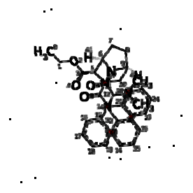 CCOC(=O)[C@H]1[C@H]2CC[C@@H](CN1C(=O)N(c1ccccc1)c1ccccc1)N2C(=O)[C@H](Cc1ccccc1)N(C)C